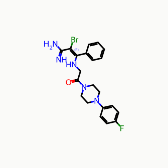 N=C(N)/C(Br)=C(\NCC(=O)N1CCN(c2ccc(F)cc2)CC1)c1ccccc1